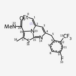 CC/C=C1/C=C(Cc2ccc(F)cc2C(F)(F)F)N=C2SC(C)=C(C(=O)NC)N21